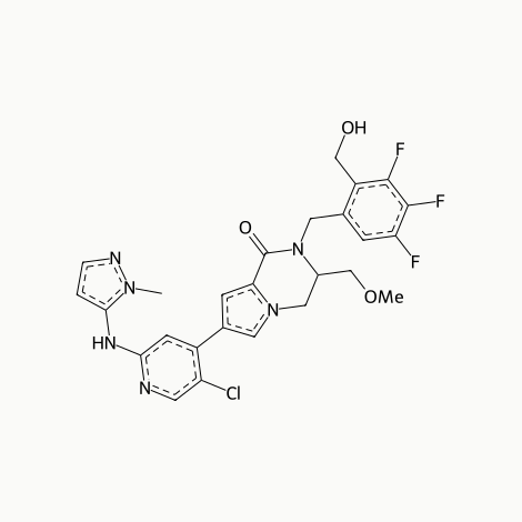 COCC1Cn2cc(-c3cc(Nc4ccnn4C)ncc3Cl)cc2C(=O)N1Cc1cc(F)c(F)c(F)c1CO